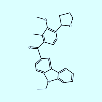 CCn1c2ccccc2c2cc(C(=O)c3ccc(C4CCCO4)c(OC)c3C)ccc21